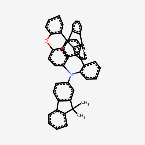 CC1(C)c2ccccc2-c2ccc(N(c3ccc4c(c3)C3(c5ccccc5O4)c4ccccc4-c4ccccc43)c3ccccc3-c3ccccc3)cc21